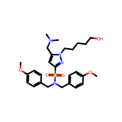 COc1ccc(CN(Cc2ccc(OC)cc2)S(=O)(=O)c2cc(CN(C)C)n(CCCCCO)n2)cc1